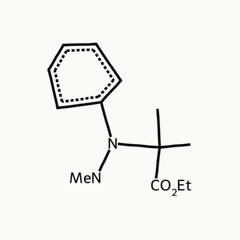 CCOC(=O)C(C)(C)N(NC)c1ccccc1